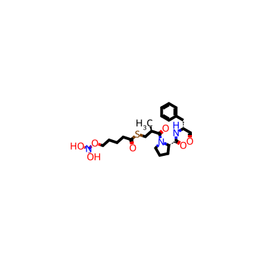 C[C@H](CSC(=O)CCCCON(O)O)C(=O)N1CCC[C@H]1C(=O)N[C@@H](C=O)Cc1ccccc1